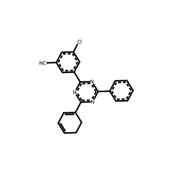 N#Cc1cc(Cl)cc(-c2nc(C3=CC=CCC3)nc(-c3ccccc3)n2)c1